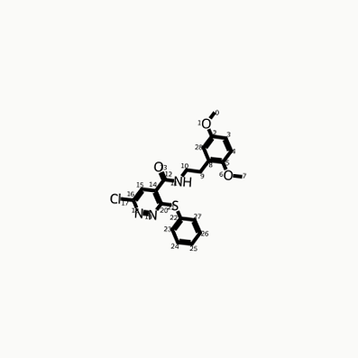 COc1ccc(OC)c(CCNC(=O)c2cc(Cl)nnc2Sc2ccccc2)c1